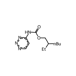 CCCCC(CC)COC(=O)Nc1ccnnn1